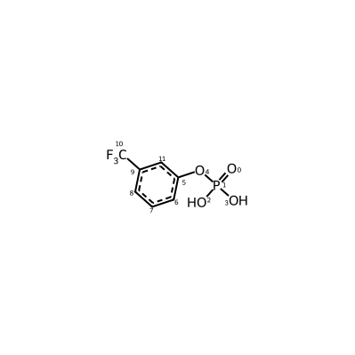 O=P(O)(O)Oc1cccc(C(F)(F)F)c1